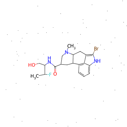 CC(F)C(CO)NC(=O)C1CC2c3cccc4[nH]c(Br)c(c34)CC2N(C)C1